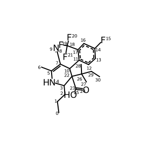 CCCC1NC(C)=C(C#N)C(c2ccc(F)cc2C(F)(F)F)C1(C(=O)O)C(C)(C)CC